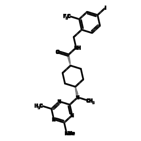 CNc1nc(C)nc(N(C)[C@H]2CC[C@@H](C(=O)NCc3ccc(I)cc3C(F)(F)F)CC2)n1